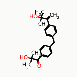 C=C(c1ccc(Cc2ccc(C(=O)C(C)(C)O)cc2)cc1)C(C)(C)O